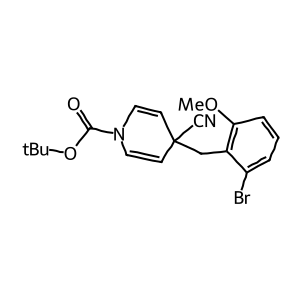 COc1cccc(Br)c1CC1(C#N)C=CN(C(=O)OC(C)(C)C)C=C1